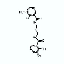 O=C(NCCCNC(=O)c1cccc(O)c1O)c1cccc(O)c1O